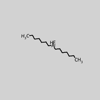 CCCCCC[CH2][Al][CH2]CCCCCC.F